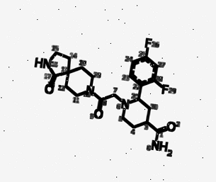 NC(=O)C1CCN(CC(=O)N2CCC3(CCNC3=O)CC2)C(c2ccc(F)cc2F)C1